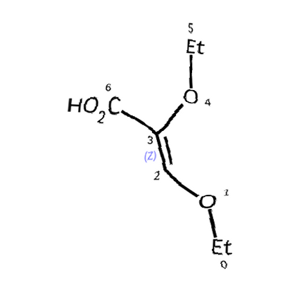 CCO/C=C(\OCC)C(=O)O